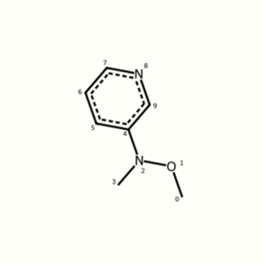 CON(C)c1cccnc1